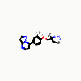 CC(C)CC(C)(N)COc1ccc(-c2ccnc3ccnn23)cc1C(F)(F)F